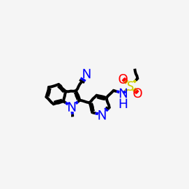 CCS(=O)(=O)NCc1cncc(-c2c(C#N)c3ccccc3n2C)c1